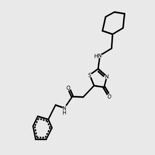 O=C(CC1SC(NCC2CCCCC2)=NC1=O)NCc1ccccc1